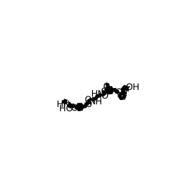 COc1cc(CCO[C@H]2CCCCC2N2CC[C@@H](O)C2)ccc1OC(=O)NCCCCNC(=O)OCCc1ccc(OCC(O)CNC(C)C)cc1